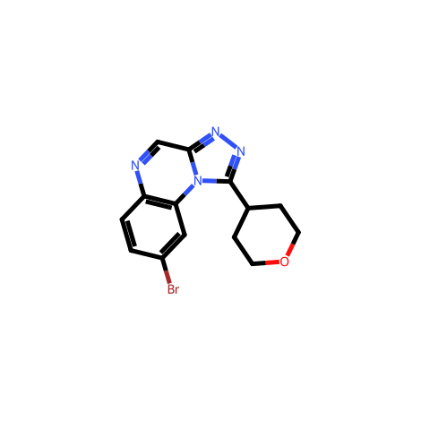 Brc1ccc2ncc3nnc(C4CCOCC4)n3c2c1